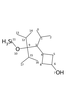 CC(C)C(C1CC(O)C1)C(O[SiH3])(C(C)C)C(C)C